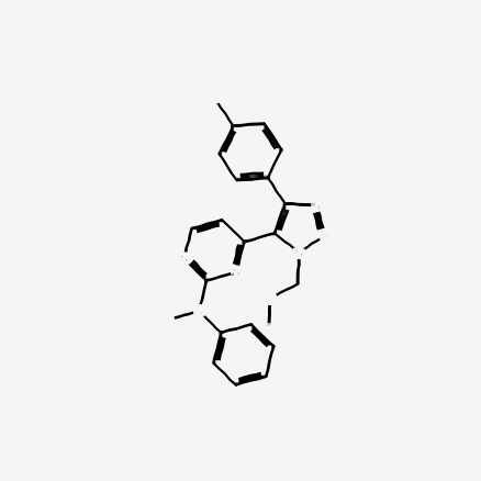 CCOCn1nnc(-c2ccc(Cl)cc2)c1-c1ccnc(N(C)c2ccccc2)n1